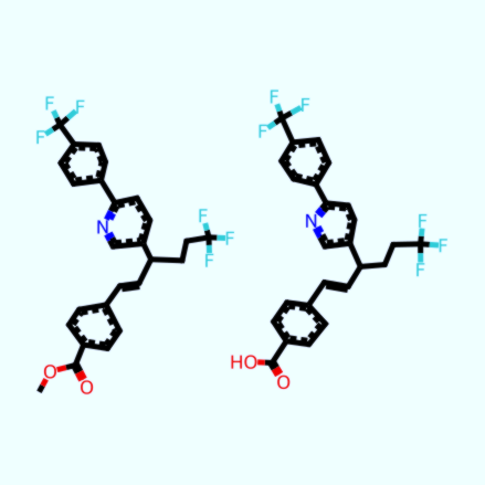 COC(=O)c1ccc(/C=C/C(CCC(F)(F)F)c2ccc(-c3ccc(C(F)(F)F)cc3)nc2)cc1.O=C(O)c1ccc(/C=C/C(CCC(F)(F)F)c2ccc(-c3ccc(C(F)(F)F)cc3)nc2)cc1